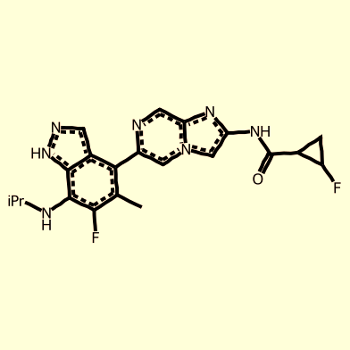 Cc1c(F)c(NC(C)C)c2[nH]ncc2c1-c1cn2cc(NC(=O)C3CC3F)nc2cn1